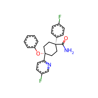 NC(=O)[C@]1(c2ccc(F)cc2)CC[C@](Oc2ccccc2)(c2ccc(F)cn2)CC1